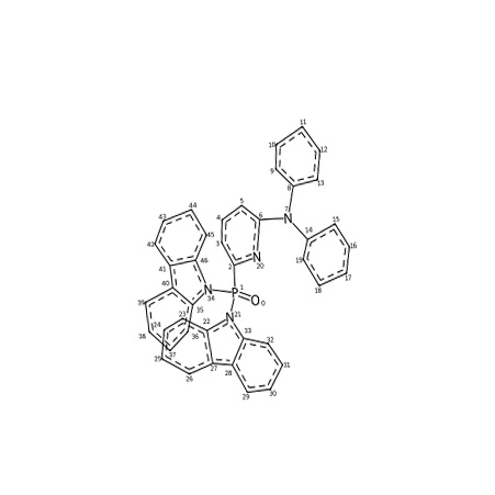 O=P(c1cccc(N(c2ccccc2)c2ccccc2)n1)(n1c2ccccc2c2ccccc21)n1c2ccccc2c2ccccc21